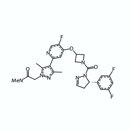 CNC(=O)Cn1nc(C)c(-c2cc(OC3CN(C(=O)N4N=CC[C@H]4c4cc(F)cc(F)c4)C3)c(F)cn2)c1C